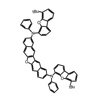 CC(C)(C)c1cccc2c1oc1c(N(c3ccccc3)c3ccc4cc5oc6cc7ccc(N(c8ccccc8)c8cccc9c8oc8c(C(C)(C)C)cccc89)cc7cc6c5cc4c3)cccc12